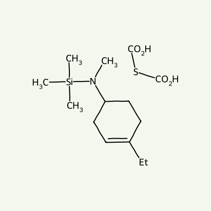 CCC1=CCC(N(C)[Si](C)(C)C)CC1.O=C(O)SC(=O)O